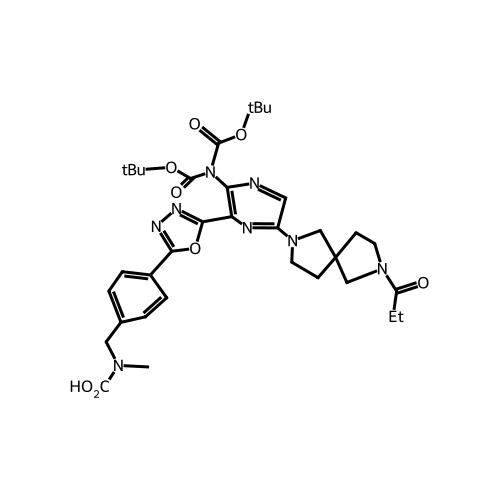 CCC(=O)N1CCC2(CCN(c3cnc(N(C(=O)OC(C)(C)C)C(=O)OC(C)(C)C)c(-c4nnc(-c5ccc(CN(C)C(=O)O)cc5)o4)n3)C2)C1